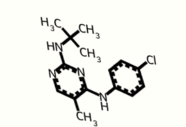 Cc1cnc(NC(C)(C)C)nc1Nc1ccc(Cl)cc1